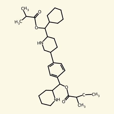 CCC(C)C(=O)OC(c1ccc(C2CCC(C(OC(=O)C(C)C)C3CCCCC3)NC2)cc1)C1CCCCN1